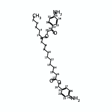 CCCCCC[C@H](CCCCCCCCCCC(=O)OCc1ccc(N)cc1)OCC(=O)c1ccc(N)cc1